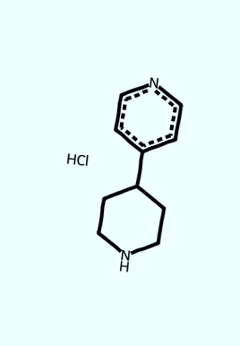 Cl.c1cc(C2CCNCC2)ccn1